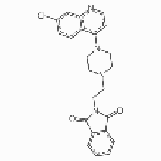 O=C1c2ccccc2C(=O)N1CCN1CCN(c2ccnc3cc(Cl)ccc23)CC1